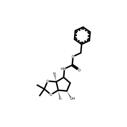 CC1(C)O[C@@H]2[C@@H](O)CC(NC(=O)OCc3ccccc3)[C@@H]2O1